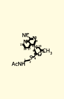 CC(=O)NCCSC[C@H]1CN(c2cnc(C#N)c3ncccc23)C[C@@H](C)O1